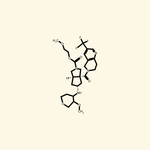 COCCOC(=O)N1C[C@@H]2C[C@@H](NC3CCOCC3OC)C[C@]2(C(=O)N2CCc3ncc(C(F)(F)F)cc3C2)C1